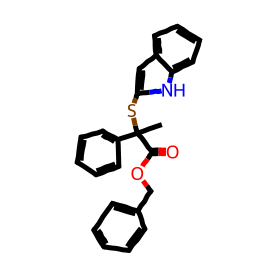 CC(Sc1cc2ccccc2[nH]1)(C(=O)OCc1ccccc1)c1ccccc1